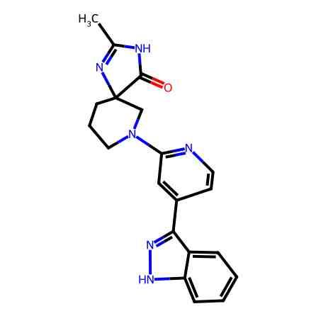 CC1=NC2(CCCN(c3cc(-c4n[nH]c5ccccc45)ccn3)C2)C(=O)N1